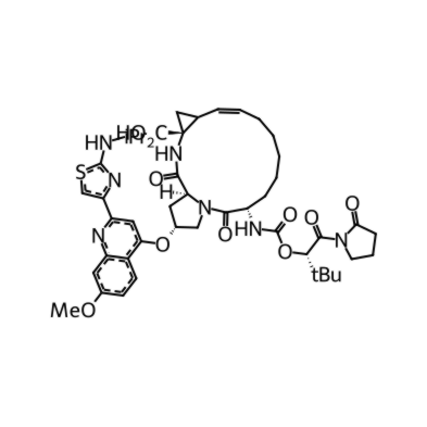 COc1ccc2c(O[C@@H]3C[C@H]4C(=O)N[C@]5(C(=O)O)CC5/C=C\CCCCC[C@H](NC(=O)O[C@H](C(=O)N5CCCC5=O)C(C)(C)C)C(=O)N4C3)cc(-c3csc(NC(C)C)n3)nc2c1